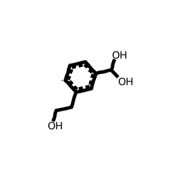 OCCc1[c]ccc(C(O)O)c1